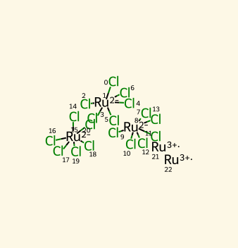 [Cl][Ru-2]([Cl])([Cl])([Cl])([Cl])[Cl].[Cl][Ru-2]([Cl])([Cl])([Cl])([Cl])[Cl].[Cl][Ru-2]([Cl])([Cl])([Cl])([Cl])[Cl].[Ru+3].[Ru+3]